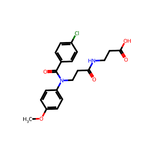 COc1ccc(N(CCC(=O)NCCC(=O)O)C(=O)c2ccc(Cl)cc2)cc1